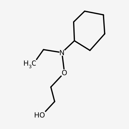 CCN(OCCO)C1CCCCC1